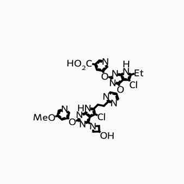 CCc1[nH]c2nc(Oc3cncc(C(=O)O)c3)nc(Oc3cnc(CCc4[nH]c5nc(Oc6cncc(OC)c6)nc(N6CC(O)C6)c5c4Cl)nc3)c2c1Cl